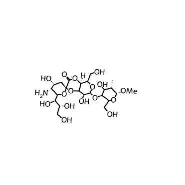 CO[C@@H]1OC(CO)[C@@H](O[C@@H]2OC(CO)[C@@H]3OC(=O)[C@]4(C[C@@H](O)[C@@H](N)C([C@H](O)[C@H](O)CO)O4)OC3[C@@H]2O)C(O)[C@@H]1C